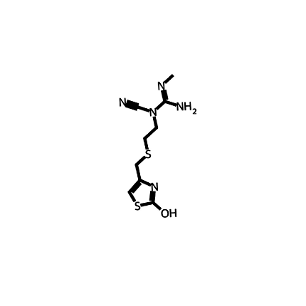 C/N=C(\N)N(C#N)CCSCc1csc(O)n1